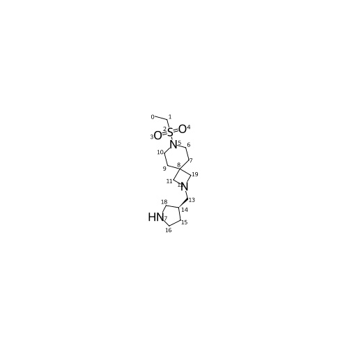 CCS(=O)(=O)N1CCC2(CC1)CN(C[C@H]1CCNC1)C2